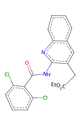 CCOC(=O)Cc1cc2ccccc2nc1NC(=O)c1c(Cl)cccc1Cl